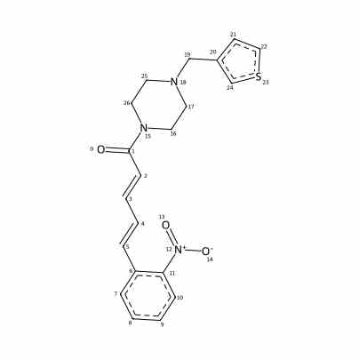 O=C(/C=C/C=C/c1ccccc1[N+](=O)[O-])N1CCN(Cc2ccsc2)CC1